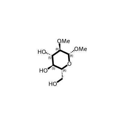 CO[C@@H]1O[C@H](CO)[C@@H](O)[C@H](O)[C@H]1OC